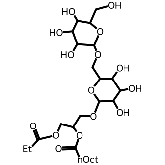 CCCCCCCCC(=O)OC(COC(=O)CC)COC1OC(COC2OC(CO)C(O)C(O)C2O)C(O)C(O)C1O